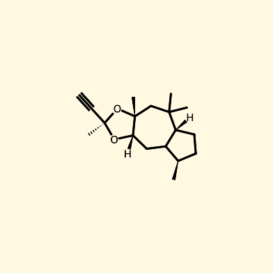 C#C[C@]1(C)O[C@H]2CC3[C@H](C)CC[C@H]3C(C)(C)C[C@@]2(C)O1